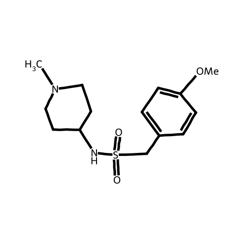 COc1ccc(CS(=O)(=O)NC2CCN(C)CC2)cc1